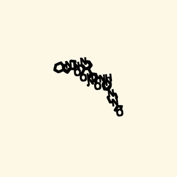 Cn1cc(-c2ccnc(N3CCn4c(cc5c4CCCC5)C3=O)c2CO)cc(Nc2ccc(N3CCN(C4COC4)CC3)cn2)c1=O